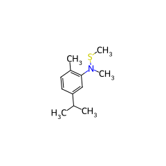 CSN(C)c1cc(C(C)C)ccc1C